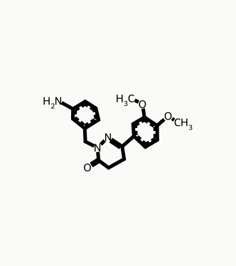 COc1ccc(C2=NN(Cc3cccc(N)c3)C(=O)CC2)cc1OC